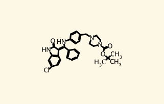 CC(C)(C)OC(=O)N1CCN(Cc2ccc(N/C(=C3\C(=O)Nc4cc(Cl)ccc43)c3ccccc3)cc2)CC1